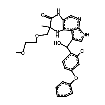 COCCOCC1(C)Nc2c(cnc3[nH]cc(C(O)c4ccc(Oc5ccccc5)cc4Cl)c23)NC1=O